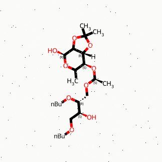 CCCCOC[C@H](O)[C@@H](CO[C@H](C)O[C@H]1C(C)O[C@@H](O)C2OC(C)(C)O[C@@H]21)OCCCC